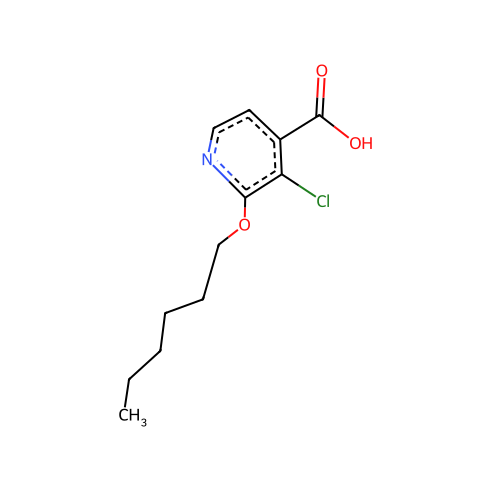 CCCCCCOc1nccc(C(=O)O)c1Cl